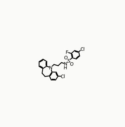 O=S(=O)(NCCCN1c2ccccc2CCc2ccc(Cl)cc21)c1ccc(Cl)cc1F